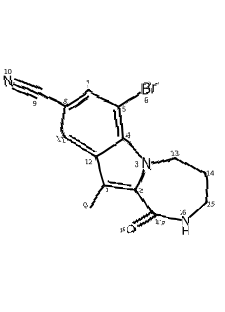 Cc1c2n(c3c(Br)cc(C#N)cc13)CCCNC2=O